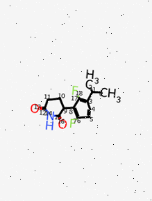 CC(C)c1ccc(F)c(C2CCC(=O)NC2=O)c1F